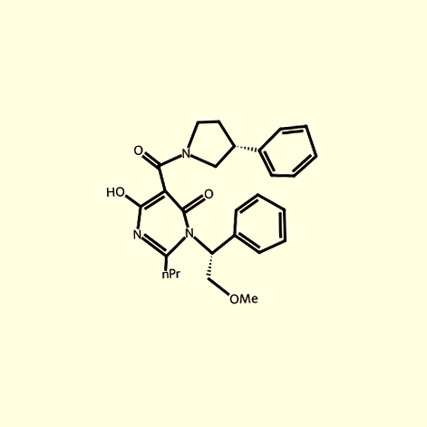 CCCc1nc(O)c(C(=O)N2CC[C@H](c3ccccc3)C2)c(=O)n1[C@@H](COC)c1ccccc1